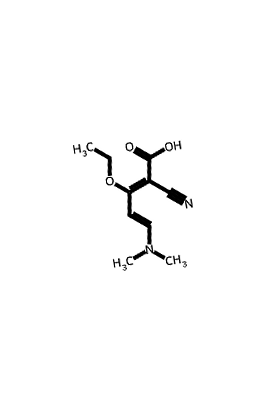 CCOC(C=CN(C)C)=C(C#N)C(=O)O